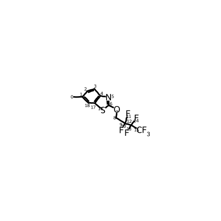 Cc1ccc2nc(OCC(F)(F)C(F)(F)C(F)(F)F)sc2c1